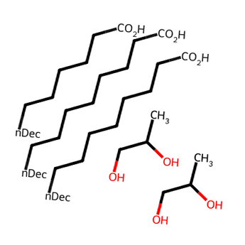 CC(O)CO.CC(O)CO.CCCCCCCCCCCCCCCC(=O)O.CCCCCCCCCCCCCCCCCC(=O)O.CCCCCCCCCCCCCCCCCC(=O)O